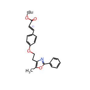 Cc1oc(-c2ccccc2)nc1CCOc1ccc(/C=C/C(=O)OC(C)(C)C)cc1